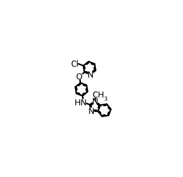 Cn1c(Nc2ccc(Oc3ncccc3Cl)cc2)nc2ccccc21